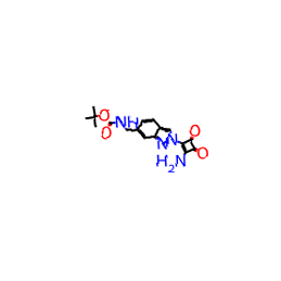 CC(C)(C)OC(=O)NCc1ccc2cn(-c3c(N)c(=O)c3=O)nc2c1